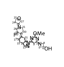 COc1nc(N2CC(O)C2)cc(-n2ncc3cc(C)c(C4CCN(C5CCOC5)CC4F)cc32)n1